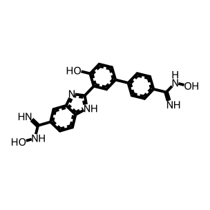 N=C(NO)c1ccc(-c2ccc(O)c(-c3nc4cc(C(=N)NO)ccc4[nH]3)c2)cc1